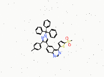 Cc1ccc(-c2nn(C(c3ccccc3)(c3ccccc3)c3ccccc3)cc2-c2ccc3ncnc(-c4ccc(S(C)(=O)=O)s4)c3c2)cc1